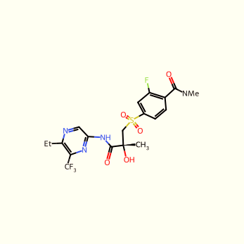 CCc1ncc(NC(=O)[C@@](C)(O)CS(=O)(=O)c2ccc(C(=O)NC)c(F)c2)nc1C(F)(F)F